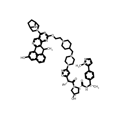 CC1c2c(ncc3c(N4CC5CCC(C4)N5)nc(OCCN4CCC(CN5CCN(c6cc([C@H](C(=O)N7C[C@H](O)C[C@H]7C(=O)N[C@@H](C)c7ccc(-c8ccnn8C)cc7)C(C)C)on6)CC5)CC4)nc23)-c2cc(O)cc3cccc1c23